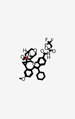 COc1ccc2c(c1)C1CC1(C(=O)N1C3COC[C@@H]1CN(C)C3)Cn1c-2c(C2CCCCC2)c2ccc(C(=O)NS(=O)(=O)CC(F)(F)F)cc21